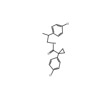 CC(CNC(=O)C1(c2ccc(Cl)cc2)CC1)c1ccc(Cl)cc1